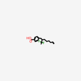 C=CCCCCC(Cc1ccc(C(=O)O)cc1)C(C)(F)F